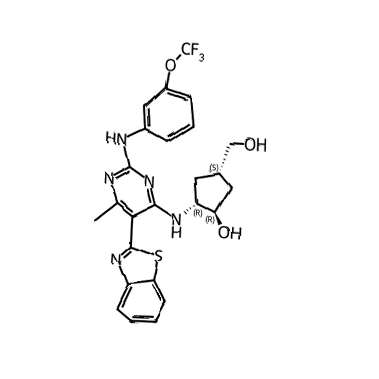 Cc1nc(Nc2cccc(OC(F)(F)F)c2)nc(N[C@@H]2C[C@H](CO)C[C@H]2O)c1-c1nc2ccccc2s1